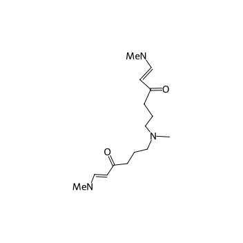 CNC=CC(=O)CCCN(C)CCCC(=O)C=CNC